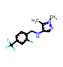 Cc1c(NCc2ccc(C(F)(F)F)cc2F)cnn1C